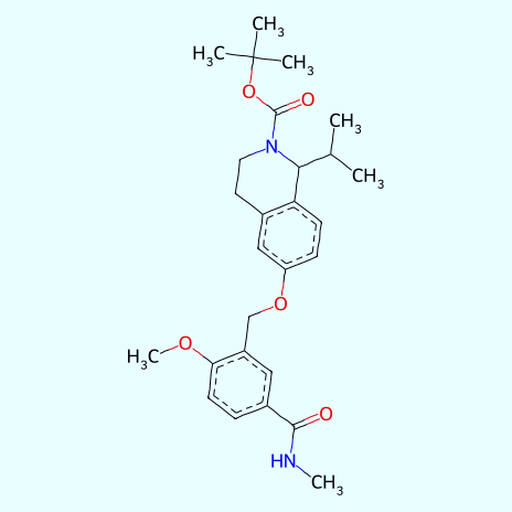 CNC(=O)c1ccc(OC)c(COc2ccc3c(c2)CCN(C(=O)OC(C)(C)C)C3C(C)C)c1